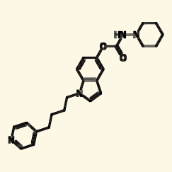 O=C(NN1CCCCC1)Oc1ccc2c(ccn2CCCCc2ccncc2)c1